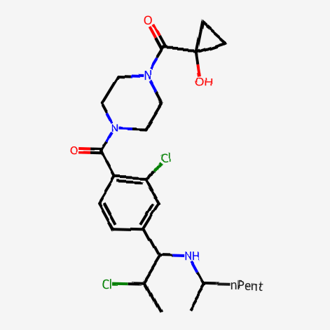 CCCCCC(C)NC(c1ccc(C(=O)N2CCN(C(=O)C3(O)CC3)CC2)c(Cl)c1)C(C)Cl